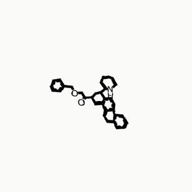 O=C(COCc1ccccc1)C1C=c2c(ccc3c2=CCc2ccccc2-3)C(C2=CC=CC=CN2)C1